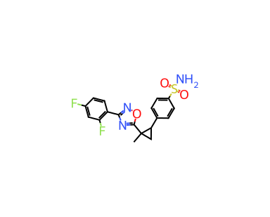 CC1(c2nc(-c3ccc(F)cc3F)no2)CC1c1ccc(S(N)(=O)=O)cc1